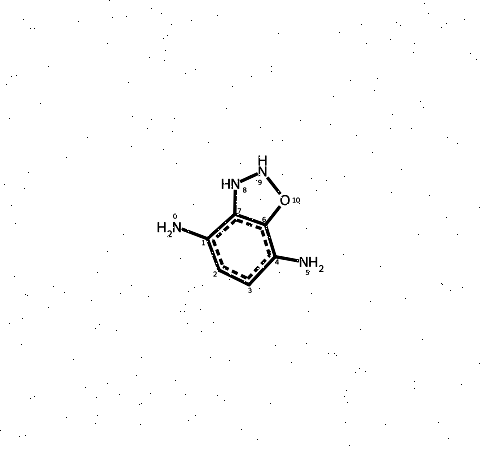 Nc1ccc(N)c2c1NNO2